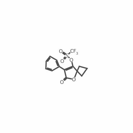 O=C1OC2(CCC2)C(OS(=O)(=O)C(F)(F)F)=C1c1ccccc1